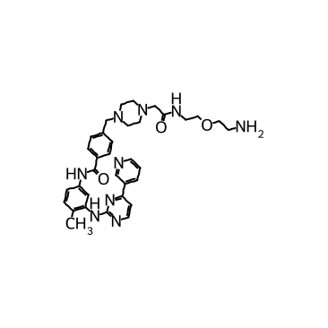 Cc1ccc(NC(=O)c2ccc(CN3CCN(CC(=O)NCCOCCN)CC3)cc2)cc1Nc1nccc(-c2cccnc2)n1